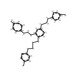 Cc1ccc(CCCCc2ccc(CCCc3ccc(C)cc3)cc2CCCc2ccc(C)cc2)cc1